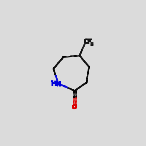 O=C1CCC(C(F)(F)F)CCN1